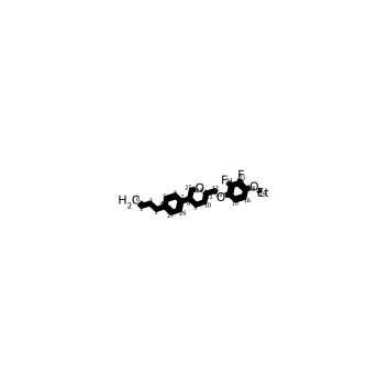 C=CCCc1ccc(C2CCC(COc3ccc(OCC)c(F)c3F)OC2)cc1